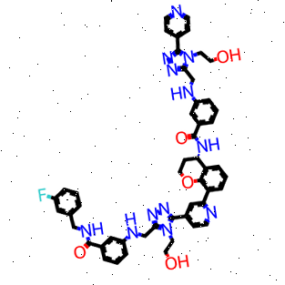 O=C(NCc1cccc(F)c1)c1cccc(NCc2nnc(-c3ccnc(-c4cccc5c4OCC[C@@H]5NC(=O)c4cccc(NCc5nnc(-c6ccncc6)n5CCO)c4)c3)n2CCO)c1